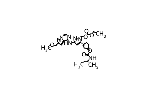 CCOC(=O)OCn1nc(Nc2nccn3nc(COC)cc23)cc1[C@H]1CC[C@@H](OC(=O)NC(C)CC)C1